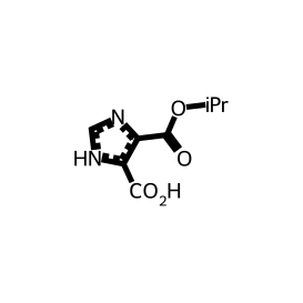 CC(C)OC(=O)c1nc[nH]c1C(=O)O